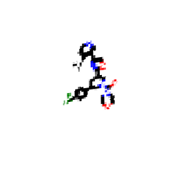 Cc1ccncc1-c1coc(C2CC(c3ccc(C(F)(F)F)cc3)CN(C(=O)N3CCOCC3)C2)n1